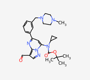 CN1CCN(Cc2cccc(-c3cc(N(C(=O)OC(C)(C)C)C4CC4)n4ncc(C=O)c4n3)c2)CC1